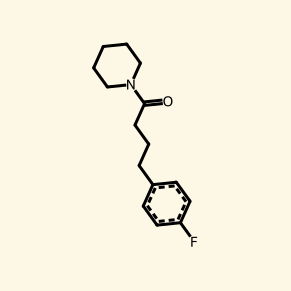 O=C(CCCc1ccc(F)cc1)N1CCCCC1